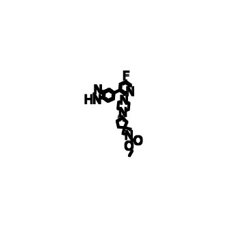 CCOC(=O)N1CC2(CC[C@@H](N3CCN(c4ncc(F)cc4-c4ccc5[nH]cnc5c4)CC3)C2)C1